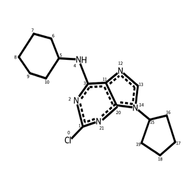 Clc1nc(NC2CCCCC2)c2ncn(C3CCCC3)c2n1